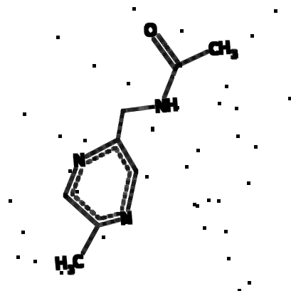 CC(=O)NCc1cnc(C)cn1